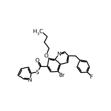 CCCCOc1c(C(=O)Sc2ccccn2)cc(Br)c2cc(Cc3ccc(F)cc3)cnc12